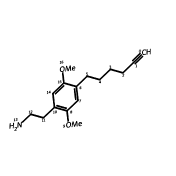 C#CCCCCc1cc(OC)c(CCN)cc1OC